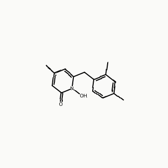 Cc1ccc(Cc2cc(C)cc(=O)n2O)c(C)c1